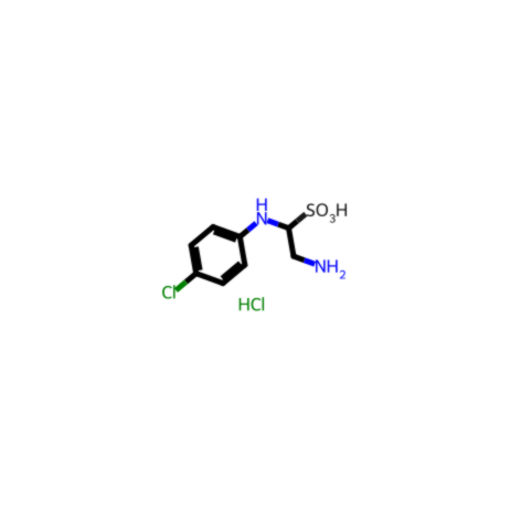 Cl.NCC(Nc1ccc(Cl)cc1)S(=O)(=O)O